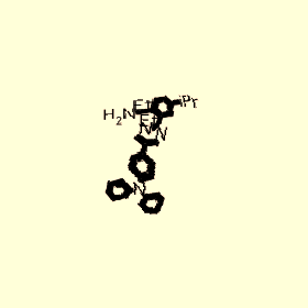 CCC(N)(CC)c1ccc(C(C)C)cc1-c1ncc(-c2ccc(N(c3ccccc3)c3ccccc3)cc2)cn1